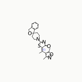 C/C(=C1\SC(N2CCC3(CC2)OCc2ccccc23)=NC1=O)c1c(C)noc1C